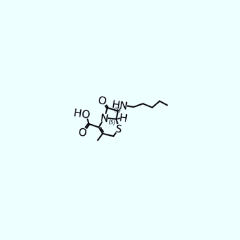 CCCCCN[C@H]1C(=O)N2C(C(=O)O)=C(C)CS[C@@H]12